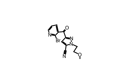 COCCn1nc(C(=O)c2cccnc2Br)cc1C#N